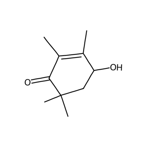 CC1=C(C)C(O)CC(C)(C)C1=O